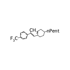 CCCCCC1CCC(/C=C(\C)c2ccc(C(F)(F)F)cc2)CC1